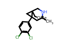 COCC12CNC(C)CC1(c1ccc(Cl)c(Cl)c1)C2